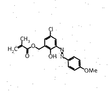 C=C(C)C(=O)OCc1cc(Cl)cc(N=Nc2ccc(OC)cc2)c1O